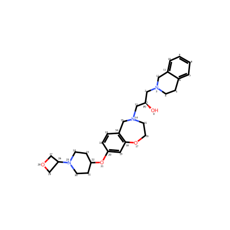 O[C@H](CN1CCc2ccccc2C1)CN1CCOc2cc(OC3CCN(C4COC4)CC3)ccc2C1